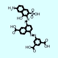 Nc1ccc2cc(S(=O)(=O)O)c(N=Nc3ccc(N=Nc4cc(C(=O)O)cc(C(=O)O)c4)c4ccc(C(=O)O)cc34)c(O)c2c1